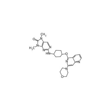 Cn1c(=O)n(C)c2nc(NC3CCC(Oc4nc(N5CCOCC5)cc5ncccc45)CC3)ncc21